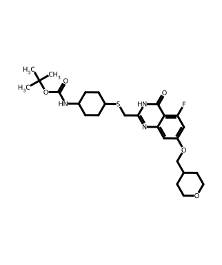 CC(C)(C)OC(=O)NC1CCC(SCc2nc3cc(OCC4CCOCC4)cc(F)c3c(=O)[nH]2)CC1